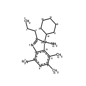 CCCC1=Nc2c(N)nc(C)c(C)c2[N+]1(N)C1CCCCC1